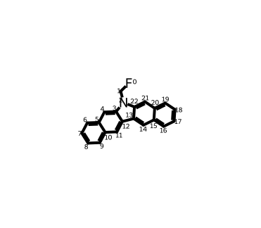 FCn1c2cc3ccccc3cc2c2cc3ccccc3cc21